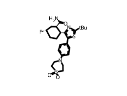 CC(C)(C)c1nc([C@@H]2CC[C@H](F)C[C@H]2C(N)=O)c(-c2ccc(N3CCS(=O)(=O)CC3)cc2)s1